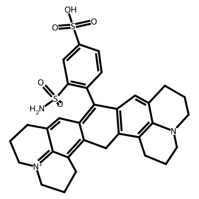 NS(=O)(=O)c1cc(S(=O)(=O)O)ccc1C1=c2cc3c4c(c2Cc2c1cc1c5c2CCCN5CCC1)CCC[N+]=4CCC3